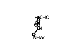 CC(=O)Nc1cccc(C#Cc2cncc(C(=O)N=S3(=O)CCN(BC=O)CC3)c2)c1